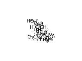 COc1ccc(Cl)cc1-c1nn(C(C)(C)C(=O)N2CC(O)C2)cc1NC(=O)c1cnn2cccnc12